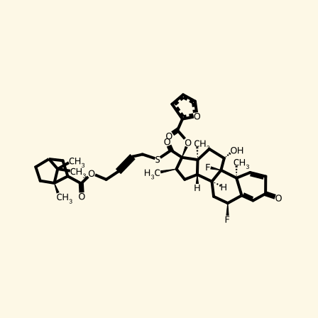 C[C@@H]1C[C@H]2[C@@H]3C[C@H](F)C4=CC(=O)C=C[C@]4(C)[C@@]3(F)[C@@H](O)C[C@]2(C)[C@@]1(OC(=O)c1ccco1)C(=O)SCC#CCOC(=O)C1CC2CC[C@]1(C)C2(C)C